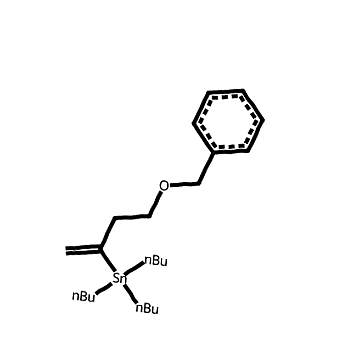 C=[C](CCOCc1ccccc1)[Sn]([CH2]CCC)([CH2]CCC)[CH2]CCC